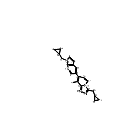 Cc1c(-c2cnc3c(ccn3CC3CC3)c2)ccn2c(CC3CC3)nnc12